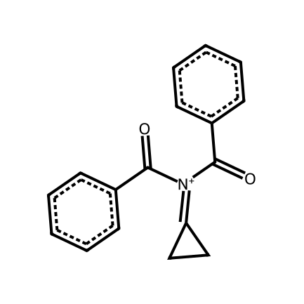 O=C(c1ccccc1)[N+](C(=O)c1ccccc1)=C1CC1